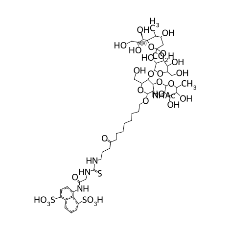 CC(=O)NC1C(OCCCCCCCCC(=O)CCCNC(=S)NCC(=O)Nc2ccc(S(=O)(=O)O)c3cccc(S(=O)(=O)O)c23)OC(CO)C(OC2OC(CO)C(O)C(OC3(C(=O)O)CC(O)C(C)C([C@H](O)[C@H](O)CO)O3)C2O)C1OC1OC(C)C(O)C(O)C1O